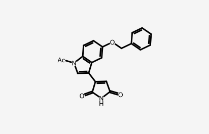 CC(=O)n1cc(C2=CC(=O)NC2=O)c2cc(OCc3ccccc3)ccc21